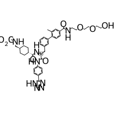 Cc1cc(C(=O)NCCOCCOCCO)ccc1-c1cccc(C[C@H](NC(=O)[C@H]2CC[C@H](CNC(=O)O)CC2)C(=O)Nc2ccc(-c3nnn[nH]3)cc2)c1